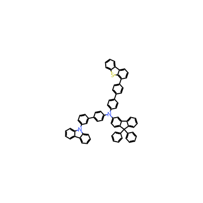 c1ccc(C2(c3ccccc3)c3ccccc3-c3cc(N(c4ccc(-c5ccc(-c6cccc7c6sc6ccccc67)cc5)cc4)c4ccc(-c5cccc(-n6c7ccccc7c7ccccc76)c5)cc4)ccc32)cc1